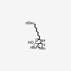 CCCCCCCCCCCCCCCCCC(=O)NC(CC)C(C(=O)O)N(CCCC)CCCC